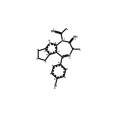 CC(=N)N1C(=N)C(C)N=C(c2ccc(Br)cc2)c2c1sc1c2CCC1